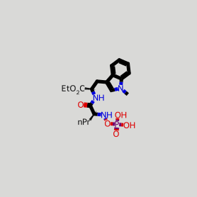 CCC[C@H](NOP(=O)(O)O)C(=O)N[C@H](Cc1cn(C)c2ccccc12)C(=O)OCC